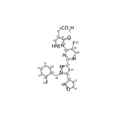 O=C(O)Cc1c[nH]n(-c2nc(-c3cc(-c4ccon4)n(Cc4ccccc4F)n3)ncc2F)c1=O